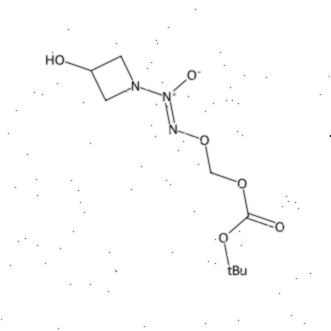 CC(C)(C)OC(=O)OCON=[N+]([O-])N1CC(O)C1